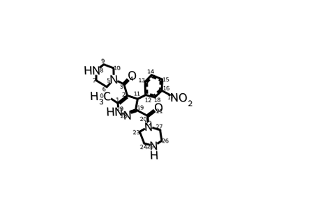 CC1=C(C(=O)N2CCNCC2)C(c2cccc([N+](=O)[O-])c2)C(C(=O)N2CCNCC2)=NN1